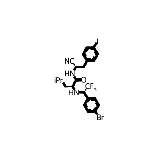 CC(C)C[C@H](N[C@@H](c1ccc(Br)cc1)C(F)(F)F)C(=O)N[C@H](C#N)Cc1ccc(I)cc1